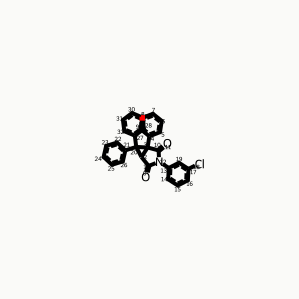 O=C1C2C(c3ccccc3)(C(=O)N1c1cccc(Cl)c1)C2(c1ccccc1)c1ccccc1